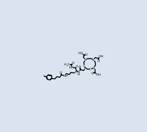 CC(=O)NC(=O)[C@H](CCCCNC(=O)CCCc1ccc(I)cc1)NC(=O)CN1CCN(CC(=O)O)CCN(CC(=O)O)CCN(CC(=O)O)CC1